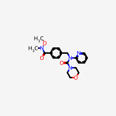 CON(C)C(=O)c1ccc(CN(C(=O)N2CCOCC2)c2ccccn2)cc1